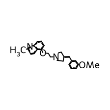 COc1cccc(C=C2CCN(CCOc3cccc4nc(C)ccc34)CC2)c1